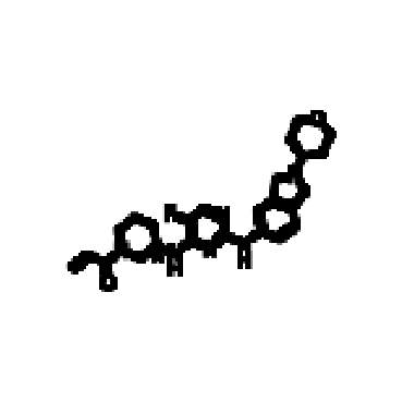 C=CC(=O)N1CCC[C@@H](Nc2nc(Nc3ccc4c(c3)CN(C3CCOCC3)C4)ncc2F)C1